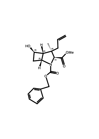 C=CC[C@]1(C)[C@H]2[C@H](O)C[C@H]2N(C(=O)OCc2ccccc2)[C@@H]1C(=O)OC